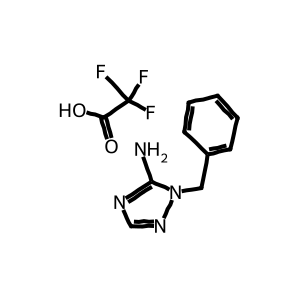 Nc1ncnn1Cc1ccccc1.O=C(O)C(F)(F)F